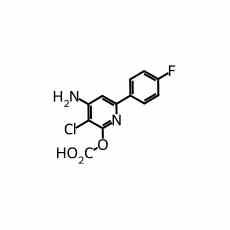 Nc1cc(-c2ccc(F)cc2)nc(OC(=O)O)c1Cl